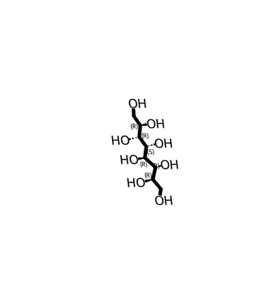 OC[C@@H](O)[C@@H](O)[C@H](O)[C@H](O)[C@H](O)[C@H](O)CO